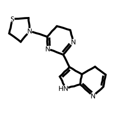 C1=CN=C2NC=C(C3=NCCC(N4CCSC4)=N3)C2C1